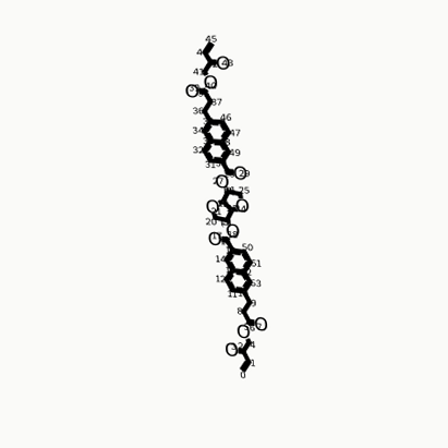 C=CC(=O)COC(=O)CCc1ccc2cc(C(=O)O[C@H]3COC4C3OC[C@H]4OC(=O)c3ccc4cc(CCC(=O)OCC(=O)C=C)ccc4c3)ccc2c1